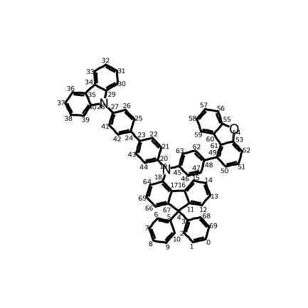 c1ccc(C2(c3ccccc3)c3ccccc3-c3c(N(c4ccc(-c5ccc(-n6c7ccccc7c7ccccc76)cc5)cc4)c4ccc(-c5cccc6oc7ccccc7c56)cc4)cccc32)cc1